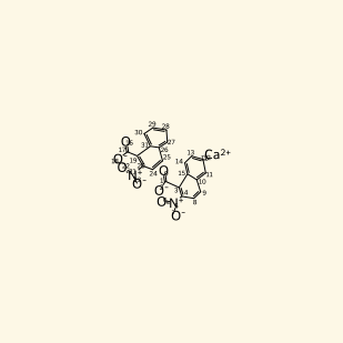 O=C([O-])c1c([N+](=O)[O-])ccc2ccccc12.O=C([O-])c1c([N+](=O)[O-])ccc2ccccc12.[Ca+2]